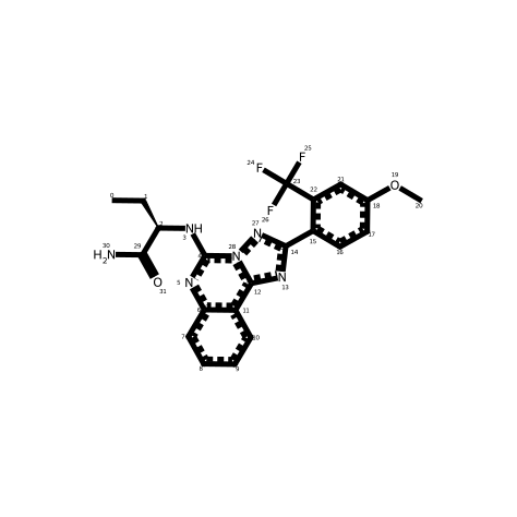 CC[C@@H](Nc1nc2ccccc2c2nc(-c3ccc(OC)cc3C(F)(F)F)nn12)C(N)=O